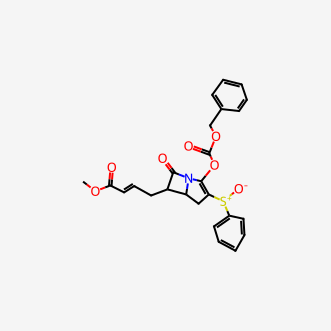 COC(=O)C=CCC1C(=O)N2C(OC(=O)OCc3ccccc3)=C([S+]([O-])c3ccccc3)CC12